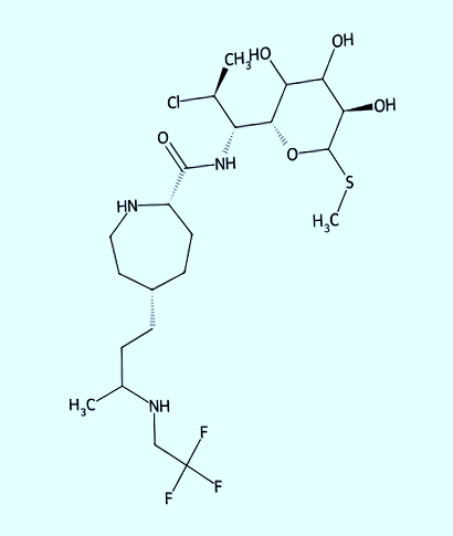 CSC1O[C@H]([C@H](NC(=O)[C@@H]2CC[C@H](CCC(C)NCC(F)(F)F)CCN2)[C@H](C)Cl)C(O)C(O)[C@H]1O